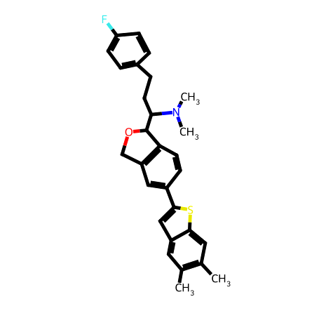 Cc1cc2cc(-c3ccc4c(c3)COC4C(CCc3ccc(F)cc3)N(C)C)sc2cc1C